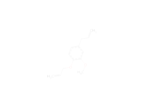 C=CCOc1ccc(CC=C)cc1OC